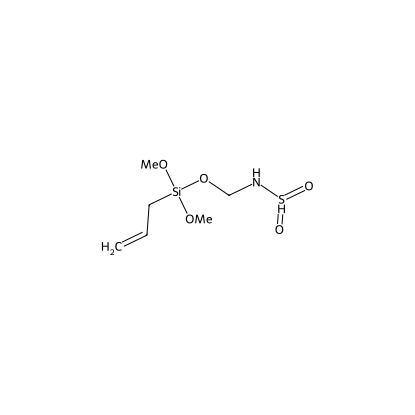 C=CC[Si](OC)(OC)OCN[SH](=O)=O